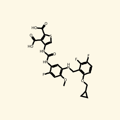 COc1cc(F)c(NC(=O)Nc2csc(C(=O)O)c2C(=O)O)cc1NCc1c(OCC2CC2)ccc(F)c1F